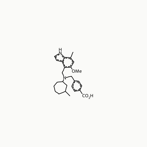 COc1cc(C)c2[nH]ccc2c1CN(Cc1ccc(C(=O)O)cc1)C1CCCCC(C)C1